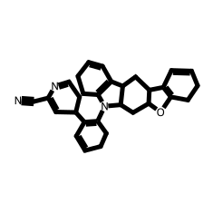 N#CC1=CC(C2=C(N3C4=C(C=CCC4)C4CC5C6=C(CCC=C6)OC5CC43)CCC=C2)CC=N1